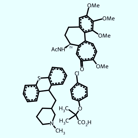 CC(C)(Oc1ccc(Cl)cc1)C(=O)O.CN1CCCC(CC2c3ccccc3Sc3ccccc32)C1.COc1cc2c(c(OC)c1OC)-c1ccc(OC)c(=O)cc1[C@@H](NC(C)=O)CC2